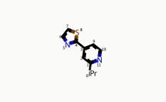 CC(C)c1cc(-c2nccs2)ccn1